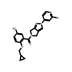 CCc1cc(-n2cc3c(n2)CN(C(=O)c2cc(C#N)ccc2OCC2CC2)C3)ccn1